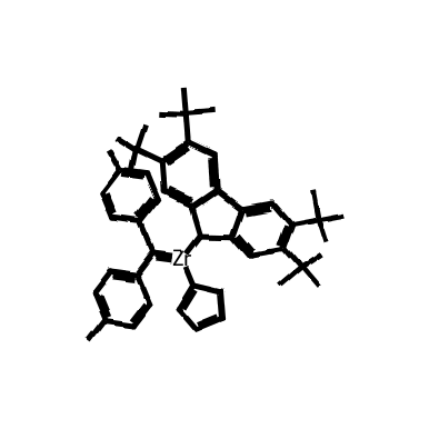 Cc1ccc([C](c2ccc(C)cc2)=[Zr]([C]2=CC=CC2)[CH]2c3cc(C(C)(C)C)c(C(C)(C)C)cc3-c3cc(C(C)(C)C)c(C(C)(C)C)cc32)cc1